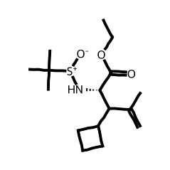 C=C(C)C(C1CCC1)[C@H](N[S+]([O-])C(C)(C)C)C(=O)OCC